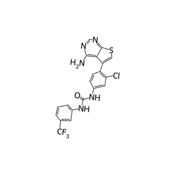 Nc1ncnc2scc(-c3ccc(NC(=O)Nc4cccc(C(F)(F)F)c4)cc3Cl)c12